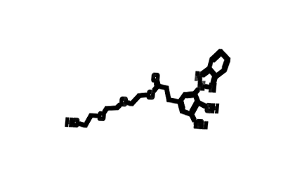 CC(C)(C)c1cc(CCC(=O)OCCOCCOCCO)cc(-n2nc3ccccc3n2)c1O